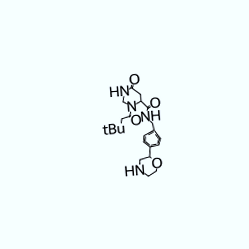 CC(C)(C)CC(=O)N1CNC(=O)CC1C(=O)NCc1ccc(C2CNCCO2)cc1